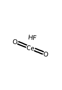 F.[O]=[Ce]=[O]